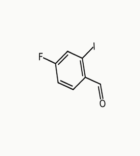 O=Cc1ccc(F)cc1I